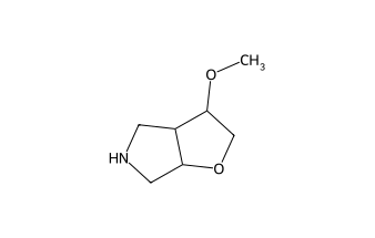 COC1COC2CNCC12